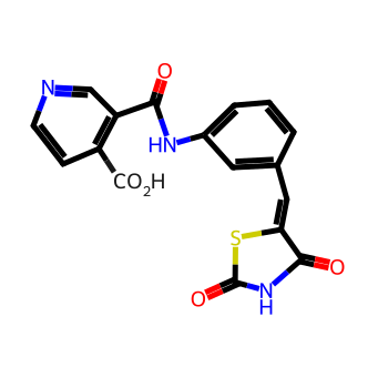 O=C1NC(=O)C(=Cc2cccc(NC(=O)c3cnccc3C(=O)O)c2)S1